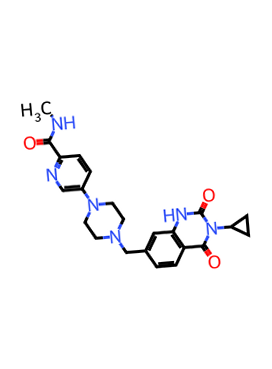 CNC(=O)c1ccc(N2CCN(Cc3ccc4c(=O)n(C5CC5)c(=O)[nH]c4c3)CC2)cn1